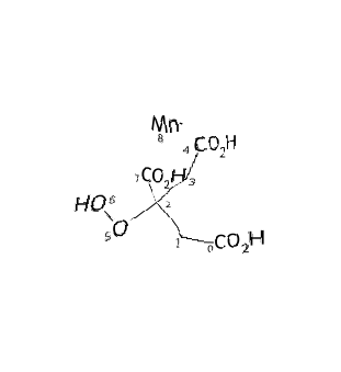 O=C(O)CC(CC(=O)O)(OO)C(=O)O.[Mn]